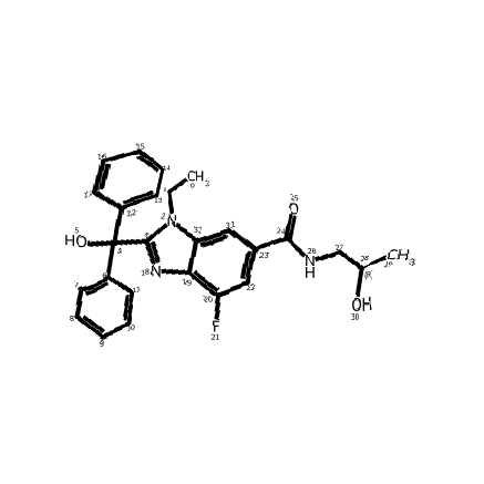 CCn1c(C(O)(c2ccccc2)c2ccccc2)nc2c(F)cc(C(=O)NC[C@@H](C)O)cc21